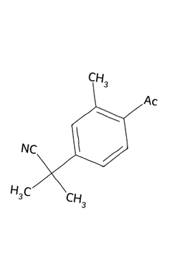 CC(=O)c1ccc(C(C)(C)C#N)cc1C